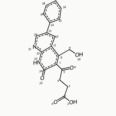 O=C(O)CCC(=O)c1c(CO)c2cc(-c3ccccc3)cnc2[nH]c1=O